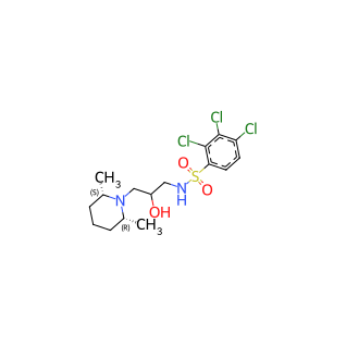 C[C@@H]1CCC[C@H](C)N1CC(O)CNS(=O)(=O)c1ccc(Cl)c(Cl)c1Cl